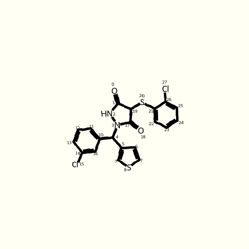 O=C1NN(C(c2ccsc2)c2cccc(Cl)c2)C(=O)C1Sc1ccccc1Cl